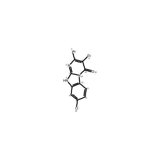 CCc1c(C(C)C)nc2[nH]c3cc(Cl)ccc3n2c1=O